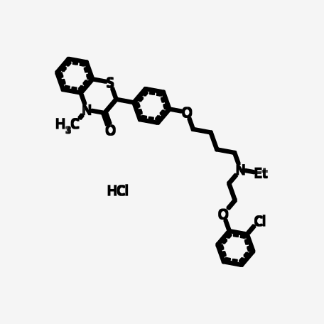 CCN(CCCCOc1ccc(C2Sc3ccccc3N(C)C2=O)cc1)CCOc1ccccc1Cl.Cl